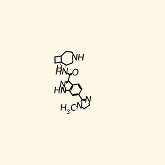 CN1CCN=C1c1ccc2c(C(=O)N[C@H]3CNCCC4CC[C@@H]43)n[nH]c2c1